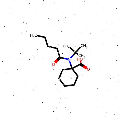 CCCCC(=O)N(C(C)(C)C)C1(C(=O)O)CCCCC1